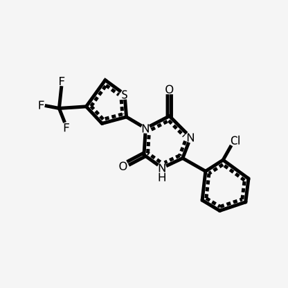 O=c1nc(-c2ccccc2Cl)[nH]c(=O)n1-c1cc(C(F)(F)F)cs1